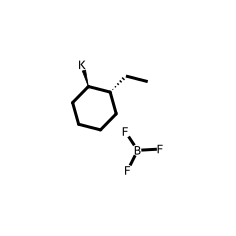 CC[C@@H]1CCCC[C@H]1[K].FB(F)F